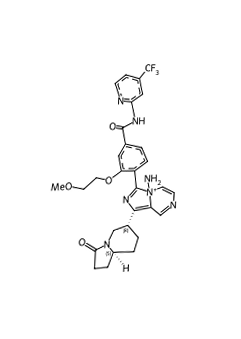 COCCOc1cc(C(=O)Nc2cc(C(F)(F)F)ccn2)ccc1C1=NC([C@@H]2CC[C@H]3CCC(=O)N3C2)=C2C=NC=C[N+]12N